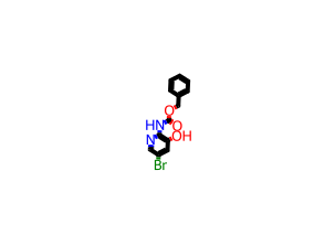 O=C(Nc1ncc(Br)cc1O)OCc1ccccc1